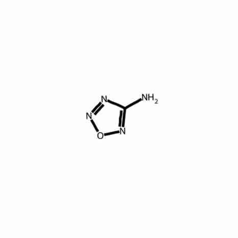 Nc1nnon1